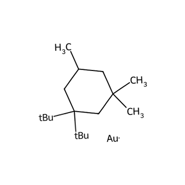 CC1CC(C)(C)CC(C(C)(C)C)(C(C)(C)C)C1.[Au]